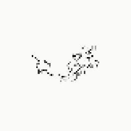 CO[C@@H]1C[C@H]2[C@@H]3CC[C@H]([C@H](C)CCc4ncc(C)cn4)[C@@]3(C)CC[C@@H]2[C@@]2(C)CC[C@@H]3CC312